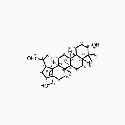 CC(C=O)[C@@H]1CC[C@]2(CO)CC[C@]3(C)[C@H](CC[C@@H]4[C@@]5(C)CC[C@H](O)C(C)(C)[C@@H]5CC[C@]43C)[C@@H]12